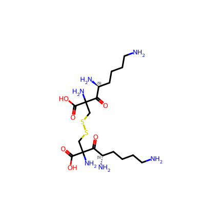 NCCCC[C@H](N)C(=O)C(N)(CSSCC(N)(C(=O)O)C(=O)[C@@H](N)CCCCN)C(=O)O